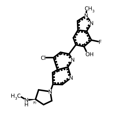 CN[C@@H]1CCN(c2cnc3nc(-c4cc5cn(C)nc5c(F)c4O)cc(Cl)c3c2)C1